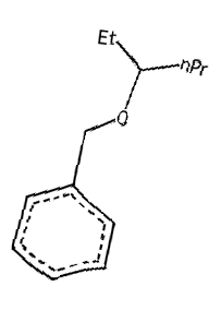 CCCC(CC)OCc1ccccc1